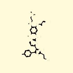 C=CC(=O)Nc1cc(Nc2nccc(-c3[nH]c(CCN)nc3-c3ccc(F)cc3)n2)c(OC)cc1N(C)CCN(C)C